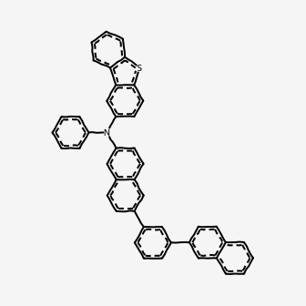 c1ccc(N(c2ccc3cc(-c4cccc(-c5ccc6ccccc6c5)c4)ccc3c2)c2ccc3sc4ccccc4c3c2)cc1